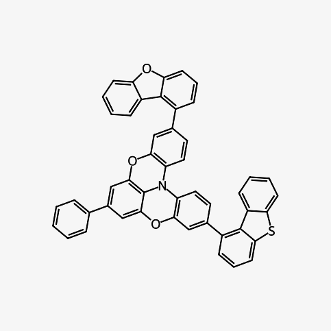 c1ccc(-c2cc3c4c(c2)Oc2cc(-c5cccc6sc7ccccc7c56)ccc2N4c2ccc(-c4cccc5oc6ccccc6c45)cc2O3)cc1